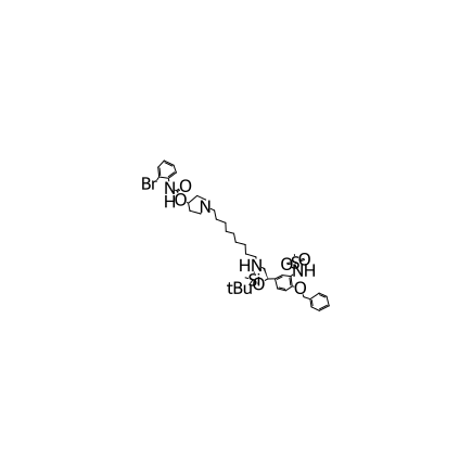 CC(C)(C)[Si](C)(C)O[C@@H](CNCCCCCCCCCN1CCC(OC(=O)Nc2ccccc2Br)CC1)c1ccc(OCc2ccccc2)c(NS(C)(=O)=O)c1